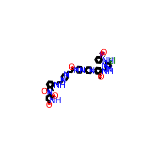 COc1cc(N2CCC(N3CCN(C(=O)CCN4CCN(CCNc5cccc6c5CN(C5CCC(=O)NC5=O)C6=O)CC4)CC3)CC2)ccc1Nc1ncc(Cl)c(Nc2ccccc2P(C)(C)=O)n1